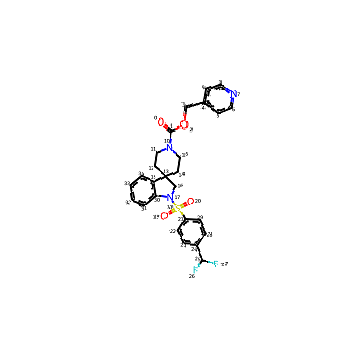 O=C(OCc1ccncc1)N1CCC2(CC1)CN(S(=O)(=O)c1ccc(C(F)F)cc1)c1ccccc12